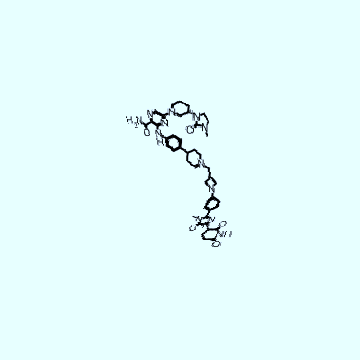 CN1CCN([C@H]2CCCN(c3cnc(C(N)=O)c(Nc4ccc(C5CCN(CC6CN(c7ccc(-c8nn(C9CCC(=O)NC9=O)c(=O)n8C)cc7)C6)CC5)cc4)n3)C2)C1=O